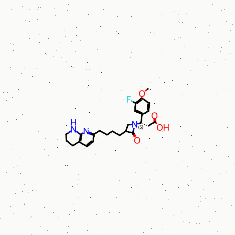 COc1ccc([C@H](CC(=O)O)N2CC(CCCCc3ccc4c(n3)NCCC4)C2=O)cc1F